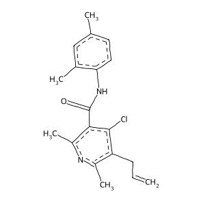 C=CCc1c(C)nc(C)c(C(=O)Nc2ccc(C)cc2C)c1Cl